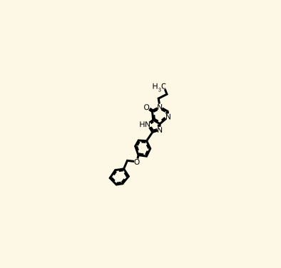 CCCn1cnc2nc(-c3ccc(OCc4ccccc4)cc3)[nH]c2c1=O